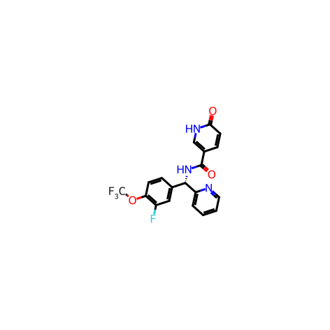 O=C(N[C@@H](c1ccc(OC(F)(F)F)c(F)c1)c1ccccn1)c1ccc(=O)[nH]c1